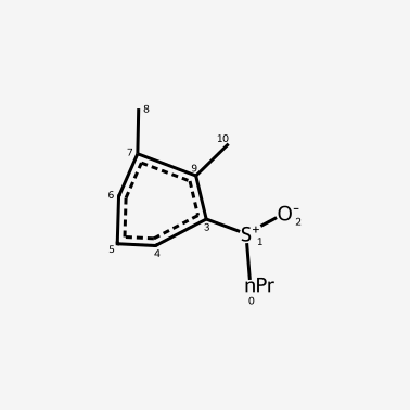 CCC[S+]([O-])c1cccc(C)c1C